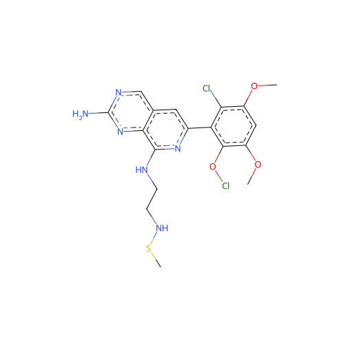 COc1cc(OC)c(OCl)c(-c2cc3cnc(N)nc3c(NCCNSC)n2)c1Cl